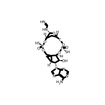 N=CN[C@@H]1O[C@@H]2CO[P@](=O)(S)O[C@H]3[C@@H](O)[C@H](n4cnc5c(N)ncnc54)[C@H]4CC43CO[P@@](=O)(S)O[C@@H]1C2